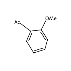 COc1cc[c]cc1C(C)=O